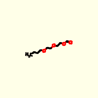 CCCCOCCOCCOC=O